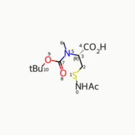 CC(=O)NSC[C@@H](C(=O)O)N(C)C(=O)OC(C)(C)C